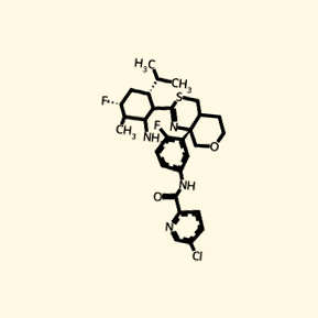 CC(C)[C@H]1C[C@@H](F)C(C)C(N)C1C1=N[C@@]2(c3cc(NC(=O)c4ccc(Cl)cn4)ccc3F)COCCC2CS1